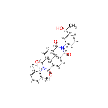 CCc1cccc(C)c1N1C(=O)c2ccc3c4c(ccc(c24)C1=O)C(=O)N(c1cccc(C(C)O)c1)C3=O